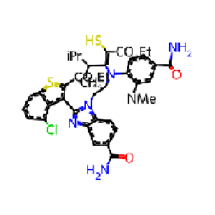 CCOC(=O)/C(S)=C(/[C@@H](C)C(C)C)N(CCn1c(-c2c(C(=O)OCC)sc3cccc(Cl)c23)nc2cc(C(N)=O)ccc21)c1ccc(C(N)=O)cc1NC